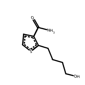 NC(=O)c1ccsc1C[CH]CCO